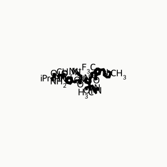 CC(C)[C@H](N)C(=O)N[C@@H](C)C(=O)Nc1ccc(COC(=O)N(CCN=[N+]=[N-])c2cc(C3(Cc4nncn4C)COC3)cc(N3Cc4c(cc(CN5CCC[C@H](C)C5)cc4C(F)(F)F)C3=O)n2)cc1